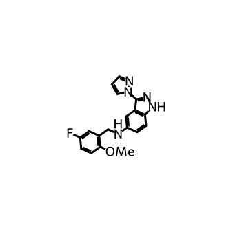 COc1ccc(F)cc1CNc1ccc2[nH]nc(-n3cccn3)c2c1